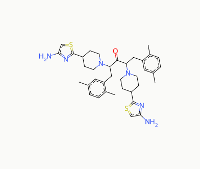 Cc1ccc(C)c(CC(C(=O)C(Cc2cc(C)ccc2C)N2CCC(c3nc(N)cs3)CC2)N2CCC(c3nc(N)cs3)CC2)c1